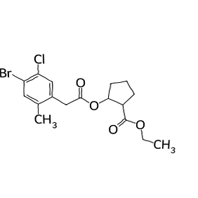 CCOC(=O)C1CCCC1OC(=O)Cc1cc(Cl)c(Br)cc1C